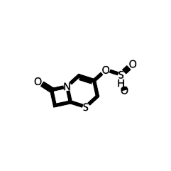 O=C1CC2SCC(O[SH](=O)=O)=CN12